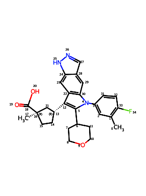 Cc1cc(-n2c(C3CCOCC3)c([C@@H]3CC[C@@](C)(C(=O)O)C3)c3cc4[nH]ncc4cc32)ccc1F